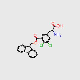 NC(Cc1cc(Cl)c(Cl)c(C(=O)OCC2c3ccccc3-c3ccccc32)c1)C(=O)O